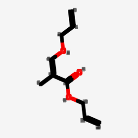 C=CCOC=C(C)C(=O)OCC=C